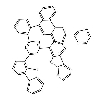 c1ccc(-c2ccc3cc(-c4ccccc4-c4nc(-c5cccc6c5oc5ccccc56)cc(-c5cccc6c5oc5ccccc56)n4)c4ccccc4c3c2)cc1